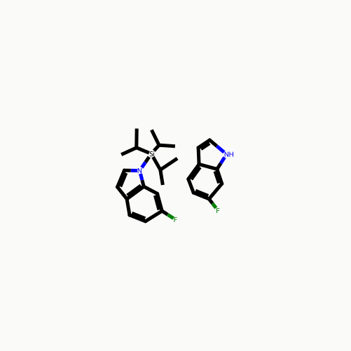 CC(C)[Si](C(C)C)(C(C)C)n1ccc2ccc(F)cc21.Fc1ccc2cc[nH]c2c1